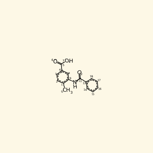 Cc1ccc(C(=O)O)cc1NC(=O)c1ccccc1